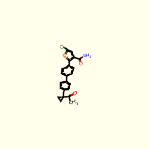 CC(=O)C1(c2ccc(-c3ccc(-c4sc(Cl)cc4C(N)=O)cc3)cc2)CC1